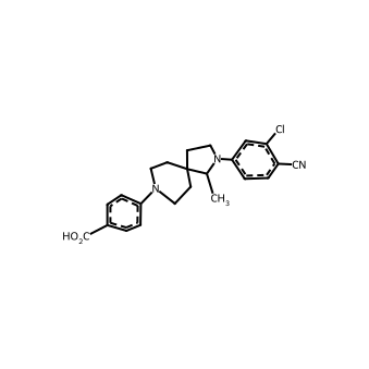 CC1N(c2ccc(C#N)c(Cl)c2)CCC12CCN(c1ccc(C(=O)O)cc1)CC2